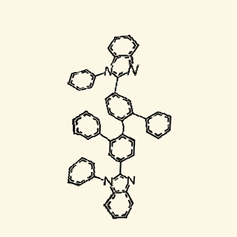 c1ccc(-c2cc(-c3nc4ccccc4n3-c3ccccc3)ccc2-c2ccc(-c3nc4ccccc4n3-c3ccccc3)cc2-c2ccccc2)cc1